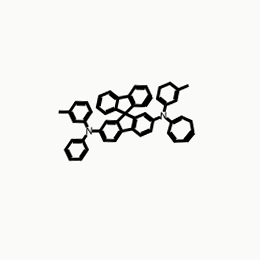 CC1=CC(N(C2=CCC#CC=C2)c2ccc3c(c2)C2(c4c#cccc4-c4ccccc42)c2cc(N(c4ccccc4)c4cccc(C)c4)ccc2-3)=CCC1